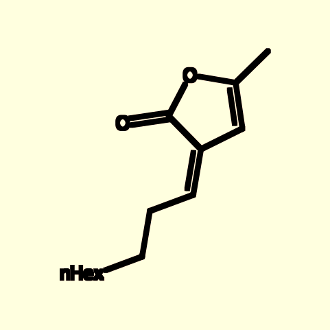 CCCCCCCCC=C1C=C(C)OC1=O